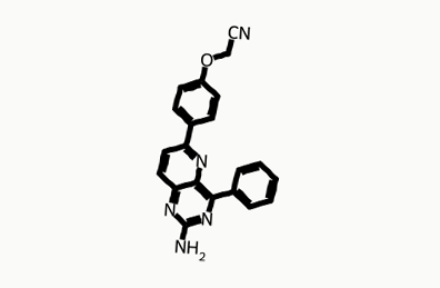 N#CCOc1ccc(-c2ccc3nc(N)nc(-c4ccccc4)c3n2)cc1